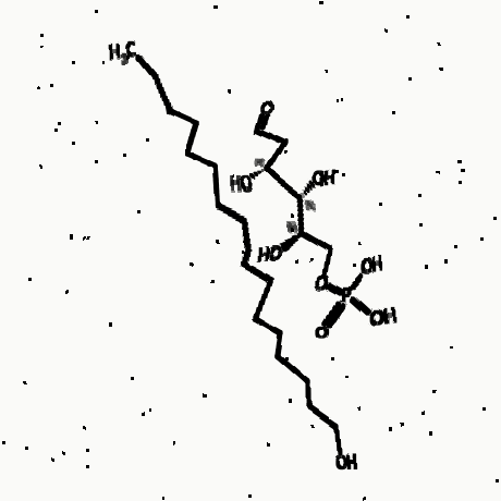 CCCCCCCCCCCCCCCCO.O=CC[C@@H](O)[C@H](O)[C@H](O)COP(=O)(O)O